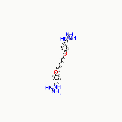 N=C(N)NCCc1ccc(OCCCCCCCCOc2ccc(CCNC(=N)N)cc2)cc1